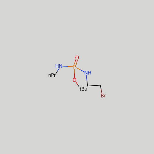 CCCNP(=O)(NCCBr)OC(C)(C)C